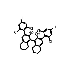 Oc1c(-c2c(Cl)cc(Cl)cc2Cl)cc2c(c1-c1c(O)c(-c3c(Cl)cc(Cl)cc3Cl)cc3c1CCCC3)CCCC2